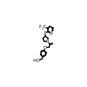 C=C(COc1ccc(CO)cc1)N1CCC(Sc2ncccc2C(F)(F)F)C1